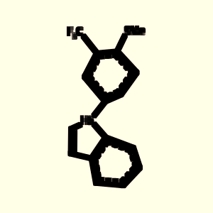 CSc1ccc([SH]2C=Cc3ccccc32)cc1C(F)(F)F